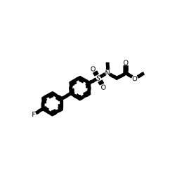 COC(=O)CN(C)S(=O)(=O)c1ccc(-c2ccc(F)cc2)cc1